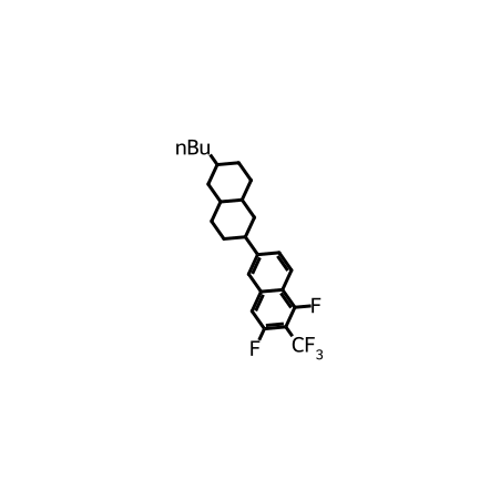 CCCCC1CCC2CC(c3ccc4c(F)c(C(F)(F)F)c(F)cc4c3)CCC2C1